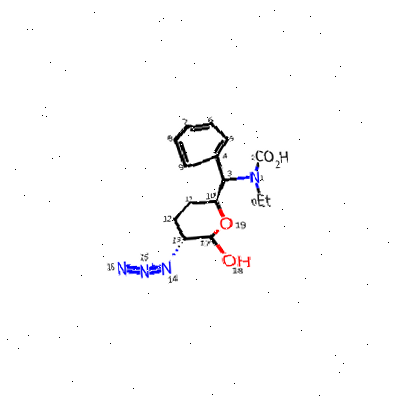 CCN(C(=O)O)C(c1ccccc1)[C@@H]1CC[C@@H](N=[N+]=[N-])C(O)O1